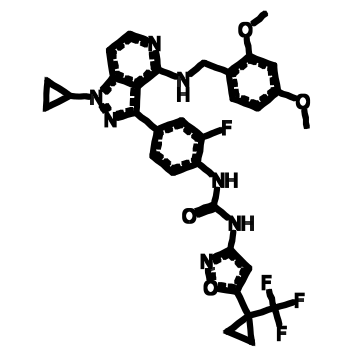 COc1ccc(CNc2nccc3c2c(-c2ccc(NC(=O)Nc4cc(C5(C(F)(F)F)CC5)on4)c(F)c2)nn3C2CC2)c(OC)c1